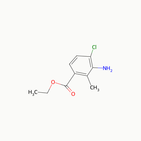 CCOC(=O)c1ccc(Cl)c(N)c1C